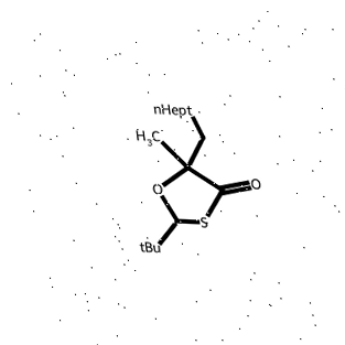 CCCCCCCCC1(C)OC(C(C)(C)C)SC1=O